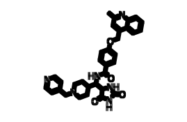 Cc1cc(COc2ccc(C(=O)NC(C3CCN(Cc4ccncc4)CC3)C3NC(=O)NC3=O)cc2)c2ccccc2n1